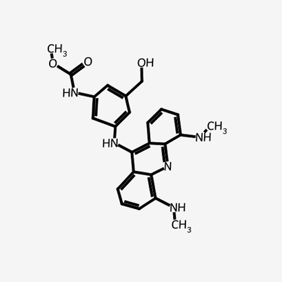 CNc1cccc2c(Nc3cc(CO)cc(NC(=O)OC)c3)c3cccc(NC)c3nc12